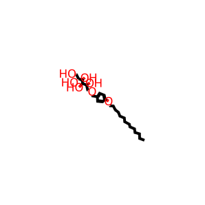 CCCCCCCCCCCCCCOc1ccc(COCC(O)C(O)C(O)C(O)CO)cc1